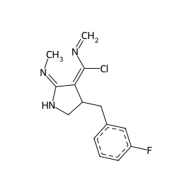 C=N/C(Cl)=C1\C(=N/C)NCC1Cc1cccc(F)c1